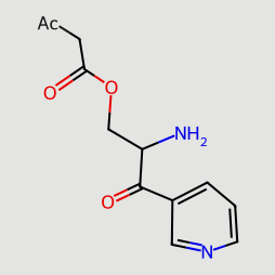 CC(=O)CC(=O)OCC(N)C(=O)c1cccnc1